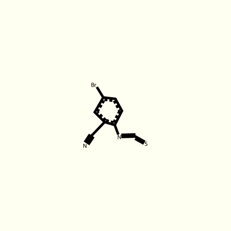 N#Cc1cc(Br)ccc1N=C=S